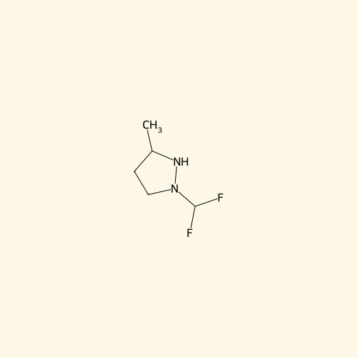 CC1CCN(C(F)F)N1